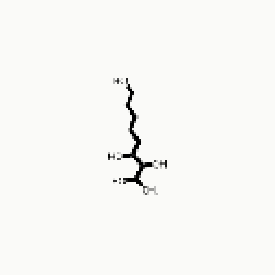 CC(O)C(O)C(O)CCCCCO